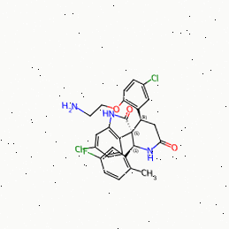 Cc1ccc(F)cc1[C@@H]1NC(=O)C[C@H](c2cc(Cl)ccc2OCCN)[C@@]12C(=O)Nc1cc(Cl)ccc12